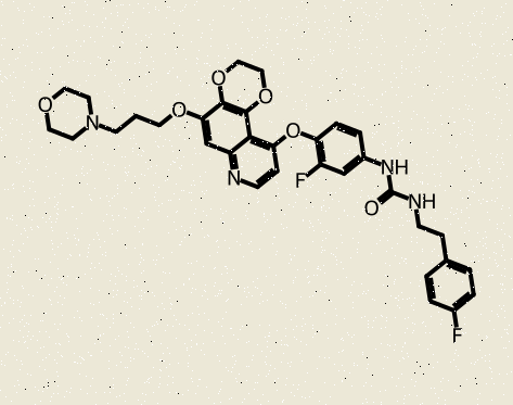 O=C(NCCc1ccc(F)cc1)Nc1ccc(Oc2ccnc3cc(OCCCN4CCOCC4)c4c(c23)OCCO4)c(F)c1